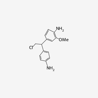 COc1cc(C(CCl)c2ccc(N)cc2)ccc1N